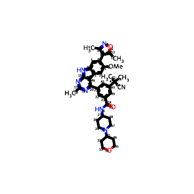 COc1cc2c(cc1-c1c(C)noc1C)[nH]c1nc(C)nc(-c3cc(C(=O)NC4CCN(C5CCOCC5)CC4)cc(C(C)(C)C#N)c3)c12